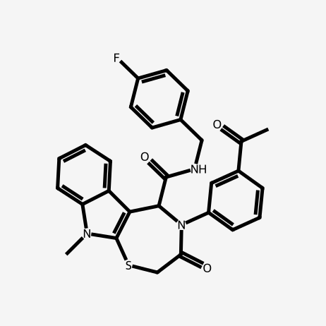 CC(=O)c1cccc(N2C(=O)CSc3c(c4ccccc4n3C)C2C(=O)NCc2ccc(F)cc2)c1